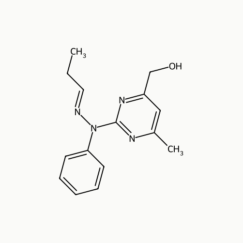 CCC=NN(c1ccccc1)c1nc(C)cc(CO)n1